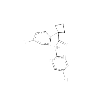 O=C(Nc1ncc(Cl)cn1)C1(c2ccc(Br)cn2)CCC1